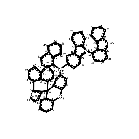 c1ccc2c(c1)Oc1ccc(N(c3ccc4c(c3)c3ccccc3n4-c3cccc4oc5ccccc5c34)c3cccc4ccccc34)cc1C21c2ccccc2-c2cccc3cccc1c23